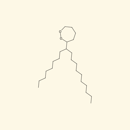 CCCCCCCCCCC(CCCCCCCC)C1CCCCOO1